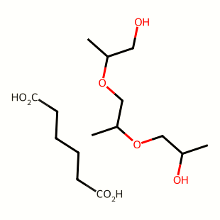 CC(O)COC(C)COC(C)CO.O=C(O)CCCCC(=O)O